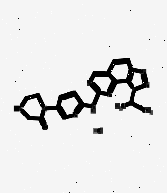 CC(C)n1nnc2ccc3cnc(Nc4ccc(N5CCNCC5=O)cn4)nc3c21.Cl